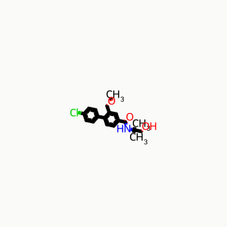 COCc1cc(C(=O)NC(C)(C)CO)ccc1-c1ccc(Cl)cc1